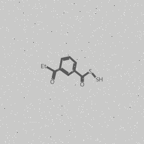 CCC(=O)c1cccc(C(=O)SS)c1